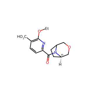 CCOc1nc(C(=O)N2C3CC[C@@H]2COC3)ccc1C(=O)O